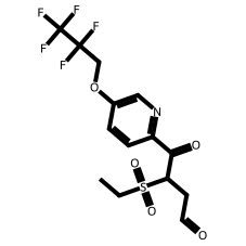 CCS(=O)(=O)C(CC=O)C(=O)c1ccc(OCC(F)(F)C(F)(F)F)cn1